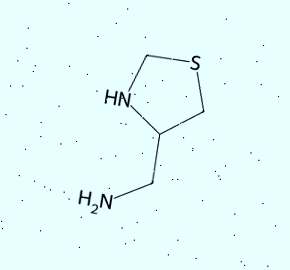 NCC1CSCN1